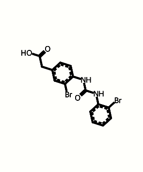 O=C(O)Cc1ccc(NC(=O)Nc2ccccc2Br)c(Br)c1